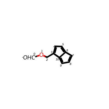 O=[C]OCC1=CC=C2C=CC=C21